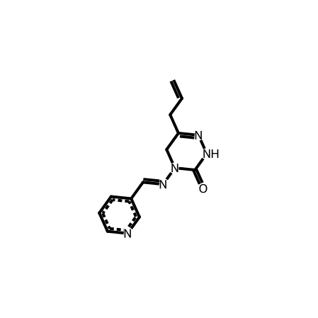 C=CCC1=NNC(=O)N(N=Cc2cccnc2)C1